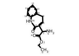 CCOC(=O)C(N)C1=CCc2ccccc2NC1=O